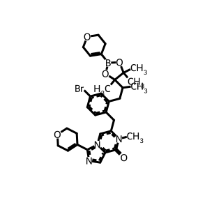 CC(Cc1cc(Br)ccc1Cc1cn2c(C3=CCOCC3)ncc2c(=O)n1C)C1(C)OB(C2=CCOCC2)OC1(C)C